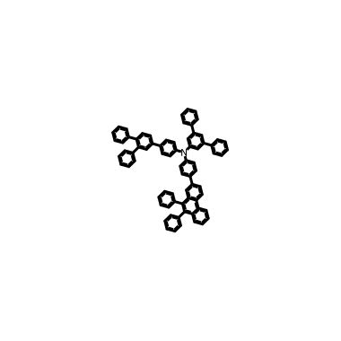 c1ccc(-c2cc(-c3ccccc3)cc(N(c3ccc(-c4ccc(-c5ccccc5)c(-c5ccccc5)c4)cc3)c3ccc(-c4ccc5c(c4)c(-c4ccccc4)c(-c4ccccc4)c4ccccc45)cc3)c2)cc1